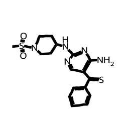 CS(=O)(=O)N1CCC(Nc2ncc(C(=S)c3ccccc3)c(N)n2)CC1